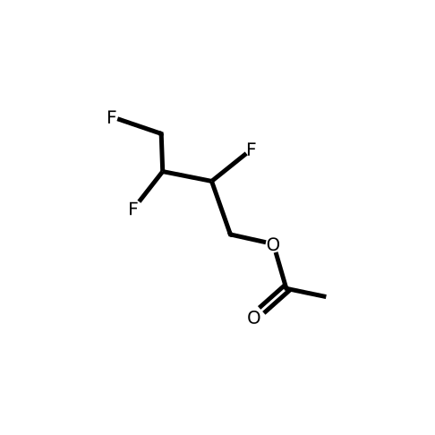 CC(=O)OCC(F)C(F)CF